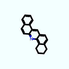 c1ccc2c(c1)ccc1nc3c4c(ccc3cc12)CCCC4